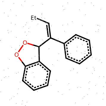 CC/C=C(/c1ccccc1)C1OOc2ccccc21